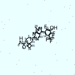 CNC(=O)N1CCN(c2ncc3c(-c4cc(C(F)(F)F)c(F)c(O)c4F)nn(C)c3n2)CC12CCC2